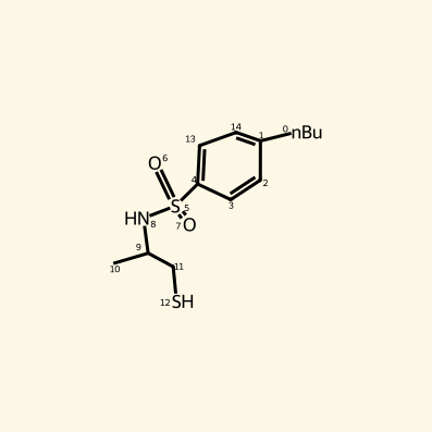 CCCCc1ccc(S(=O)(=O)NC(C)CS)cc1